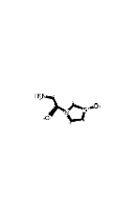 NCC(=O)N1CC[S+]([O-])C1